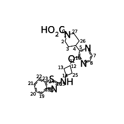 O=C(O)N1CCC(c2nccnc2O[C@H]2C[C@H](Nc3nc4ccccc4s3)C2)CC1